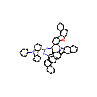 CC1=C(c2ccc3ccccc3c2)N=C(c2cccc3c2c2ccccc2n3-c2ccccc2)N=C(c2ccc3c(oc4ccc5ccccc5c43)c2-n2c3cc4ccccc4cc3c3cc4ccccc4cc32)C1